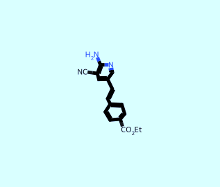 CCOC(=O)c1ccc(C=Cc2cnc(N)c(C#N)c2)cc1